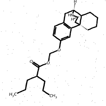 CCCC(CCC)C(=O)OCOc1ccc2c(c1)[C@]13CCCC[C@@H]1[C@H](C2)NCC3